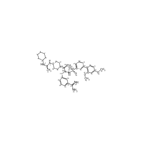 C=C(NC1CCCCC1)NC1CCN(C(=C)N(Cc2cccc(C(=N)N)c2)NS(=O)(=O)c2cccc(-c3ccc(OC)cc3OC)c2)CC1